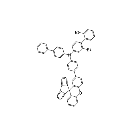 CCc1ccccc1-c1ccc(N(c2ccc(-c3ccccc3)cc2)c2ccc(-c3ccc4c(c3)C3(c5ccccc5O4)c4ccccc4-c4ccccc43)cc2)cc1CC